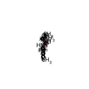 CN1CCC2(CC1)CCN(c1c(F)cc(Nc3ncc(Cl)c(Nc4ccccc4N(C)S(C)(=O)=O)n3)cc1F)CC2